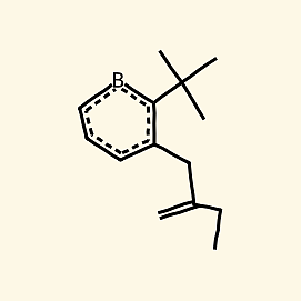 C=C(CC)Cc1cccbc1C(C)(C)C